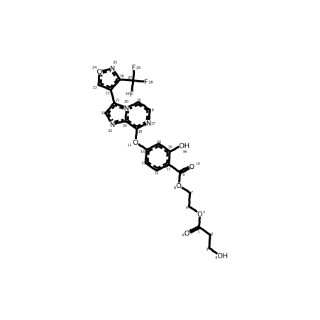 O=C(CCO)OCCOC(=O)c1ccc(Oc2nccn3c(-c4conc4C(F)(F)F)cnc23)cc1O